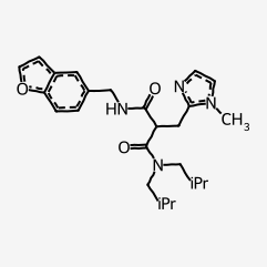 CC(C)CN(CC(C)C)C(=O)C(Cc1nccn1C)C(=O)NCc1ccc2occc2c1